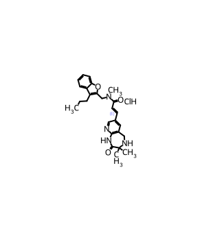 CCCc1c(CN(C)C(=O)/C=C/c2cnc3c(c2)CNC(C)(C)C(=O)N3)oc2ccccc12.Cl